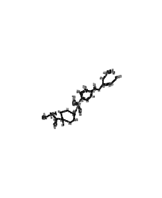 CCNC(=O)C1(C)CCN(S(=O)(=O)c2ccc(OC/C(=C/F)CN)nc2)CC1